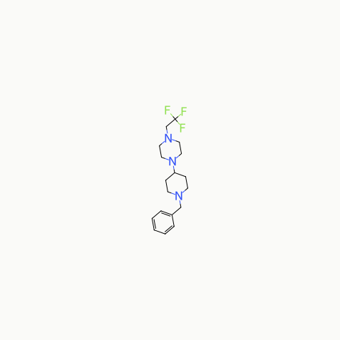 FC(F)(F)CN1CCN(C2CCN(Cc3ccccc3)CC2)CC1